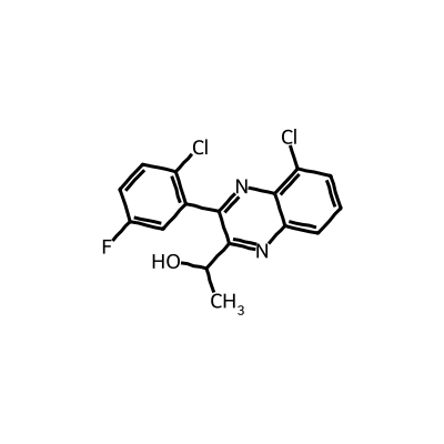 CC(O)c1nc2cccc(Cl)c2nc1-c1cc(F)ccc1Cl